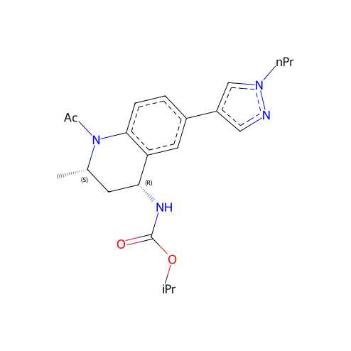 CCCn1cc(-c2ccc3c(c2)[C@H](NC(=O)OC(C)C)C[C@H](C)N3C(C)=O)cn1